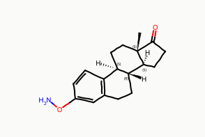 C[C@]12CC[C@@H]3c4ccc(ON)cc4CC[C@H]3[C@@H]1CCC2=O